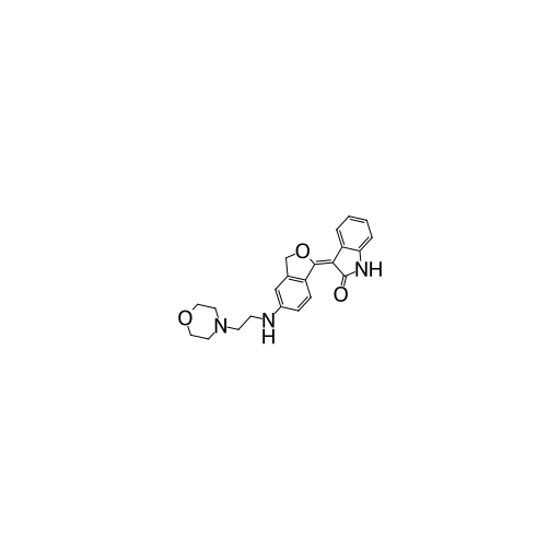 O=C1Nc2ccccc2/C1=C1\OCc2cc(NCCN3CCOCC3)ccc21